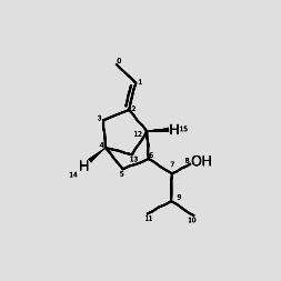 CC=C1C[C@H]2CC(C(O)C(C)C)[C@@H]1C2